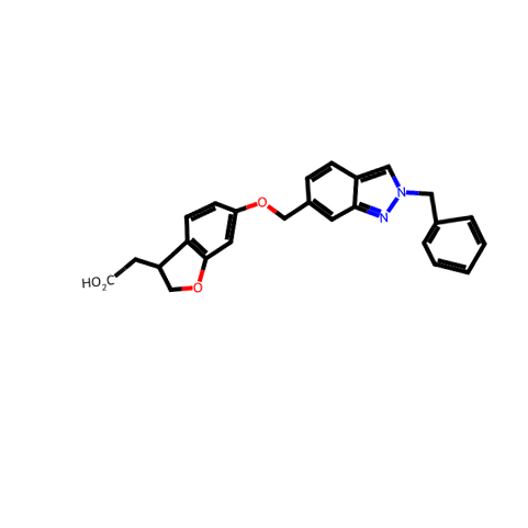 O=C(O)CC1COc2cc(OCc3ccc4cn(Cc5ccccc5)nc4c3)ccc21